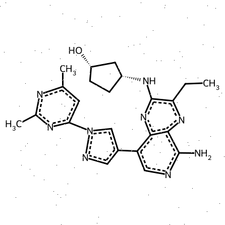 CCc1nc2c(N)ncc(-c3cnn(-c4cc(C)nc(C)n4)c3)c2nc1N[C@@H]1CC[C@H](O)C1